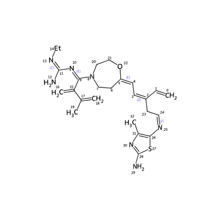 C=C/C(=C\C=C1/CCN(/C(=N/C(N)=N\CC)C(=C)C(=C)C)CCO1)C/C=N\c1sc(N)nc1C